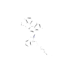 CCCCc1cc(/C=C2\Oc3ccccc3N2CCOCCOC)c2ccccc2[n+]1-c1ccccc1